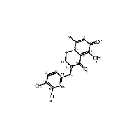 Cc1cc(=O)c(O)c2n1CCN(Cc1ccc(Cl)c(Cl)c1)C2=O